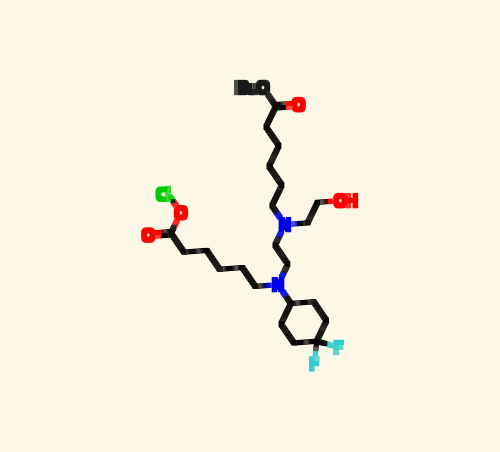 CC(C)COC(=O)CCCCCN(CCO)CCN(CCCCCC(=O)OCl)C1CCC(F)(F)CC1